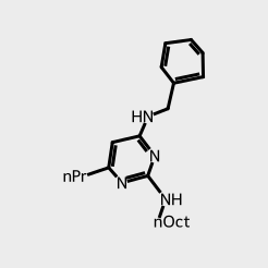 CCCCCCCCNc1nc(CCC)cc(NCc2ccccc2)n1